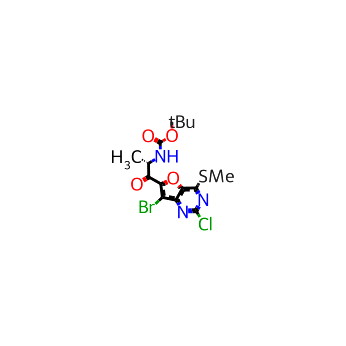 CSc1nc(Cl)nc2c(Br)c(C(=O)[C@H](C)NC(=O)OC(C)(C)C)oc12